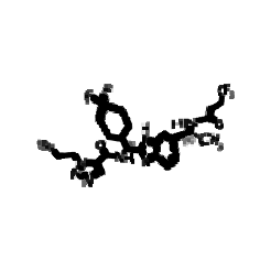 C[C@@H](NC(=O)CCC(F)(F)F)c1ccc2nc([C@@H](NC(=O)c3cnnn3CCC(C)(C)C)C3CCC(F)(F)CC3)[nH]c2c1